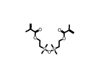 C=C(C)C(=O)OCC[Si](C)(C)O[Si](C)(C)CCOC(=O)C(=C)C